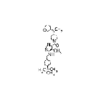 Cc1c(NCc2ccc(C(C)(C)C)cc2)ncnc1C(=O)N1CCC(N(C)C2CCCOC2)CC1